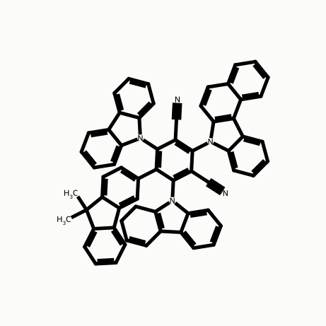 CC1(C)c2ccccc2-c2cc(-c3c(-n4c5c(c6ccccc64)C=CCC5)c(C#N)c(-n4c5ccccc5c5c6ccccc6ccc54)c(C#N)c3-n3c4ccccc4c4ccccc43)ccc21